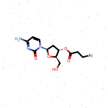 CC(=O)CCC(=O)O[C@H]1C[C@H](n2ccc(N)nc2=O)O[C@@H]1CO